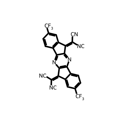 [C-]#[N+]/C(C#N)=C1/c2cc(C(F)(F)F)ccc2-c2nc3c(nc21)-c1ccc(C(F)(F)F)cc1/C3=C(/C#N)[N+]#[C-]